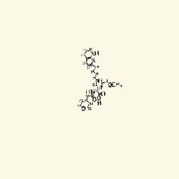 COCC(F)CN(CCCCc1ccc2c(n1)NCCC2)CCC(NC(=O)CC1CCOCC1)C(=O)O